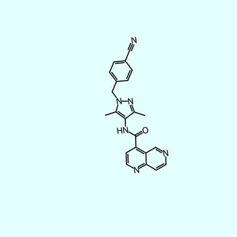 Cc1nn(Cc2ccc(C#N)cc2)c(C)c1NC(=O)c1ccnc2ccncc12